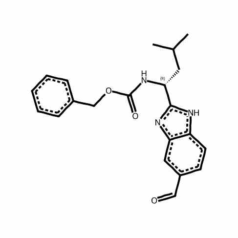 CC(C)C[C@@H](NC(=O)OCc1ccccc1)c1nc2cc(C=O)ccc2[nH]1